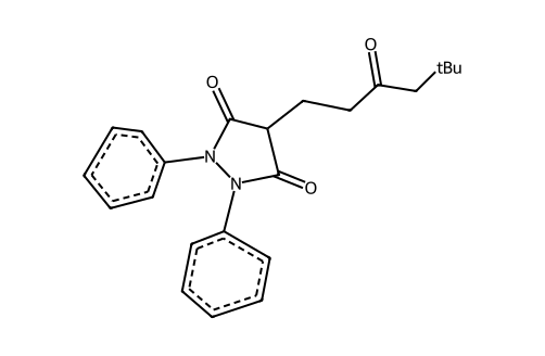 CC(C)(C)CC(=O)CCC1C(=O)N(c2ccccc2)N(c2ccccc2)C1=O